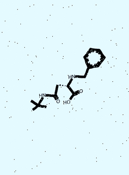 CC(C)(C)NC(=O)C[C@H](NCc1ccccc1)C(=O)O